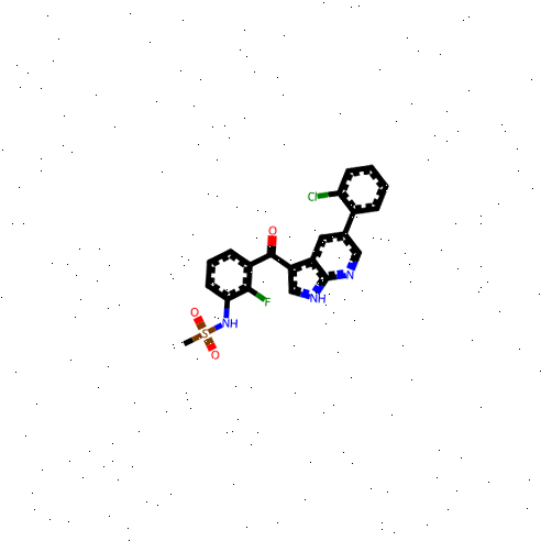 CS(=O)(=O)Nc1cccc(C(=O)c2c[nH]c3ncc(-c4ccccc4Cl)cc23)c1F